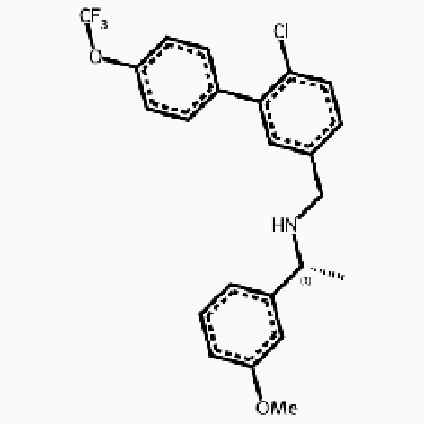 COc1cccc([C@@H](C)NCc2ccc(Cl)c(-c3ccc(OC(F)(F)F)cc3)c2)c1